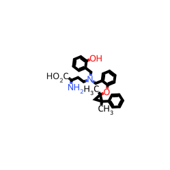 CC1(Oc2ccccc2CN(CCC(N)C(=O)O)Cc2ccccc2O)CC1(C)c1ccccc1